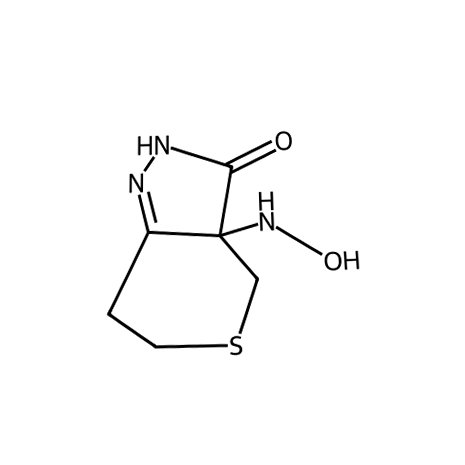 O=C1NN=C2CCSCC12NO